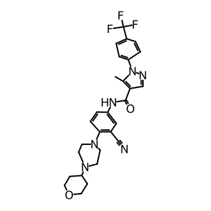 Cc1c(C(=O)Nc2ccc(N3CCN(C4CCOCC4)CC3)c(C#N)c2)cnn1-c1ccc(C(F)(F)F)cc1